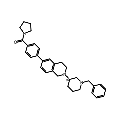 O=C(c1ccc(-c2ccc3c(c2)CCN([C@@H]2CCCN(Cc4ccccc4)C2)C3)cc1)N1CCCC1